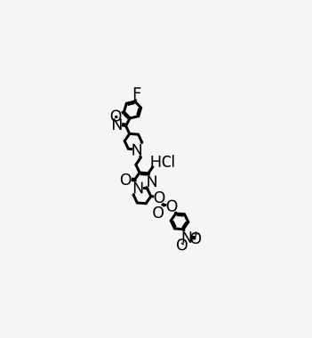 Cc1nc2n(c(=O)c1CCN1CCC(c3noc4cc(F)ccc34)CC1)CCCC2OC(=O)Oc1ccc([N+](=O)[O-])cc1.Cl